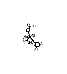 COc1cc(C#Cc2c(Cl)n([C@H]3CCN(C(=O)O)C3)c3ncnc(N)c23)cc(OC)c1